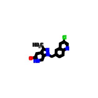 O=C(O)c1nn(Cc2ccc3ncc(Cl)cc3c2)c2c[nH]c(=O)cc12